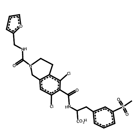 CS(=O)(=O)c1cccc(CC(NC(=O)c2c(Cl)cc3c(c2Cl)CCN(C(=O)NCc2ccco2)C3)C(=O)O)c1